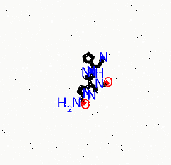 N#CCC(C1CCCC1)n1cc(-c2c(NC=O)cnn3c(C(N)=O)ccc23)cn1